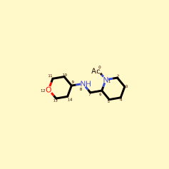 CC(=O)N1CCCCC1CNC1CCOCC1